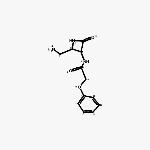 NCC1NC(=O)C1NC(=O)COc1ccccc1